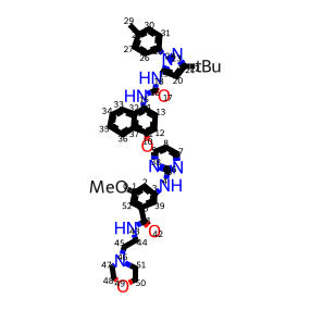 COc1cc(Nc2nccc(Oc3ccc(NC(=O)Nc4cc(C(C)(C)C)nn4-c4ccc(C)cc4)c4ccccc34)n2)cc(C(=O)NCCN2CCOCC2)c1